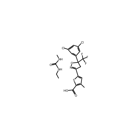 CCNC(=O)NC.Cc1cc(C2=NOC(c3cc(Cl)cc(Cl)c3)(C(F)(F)F)C2)sc1C(=O)O